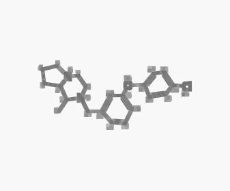 CC1C2CCCN2CCN1Cc1cccc(Oc2ccc(Cl)cc2)c1